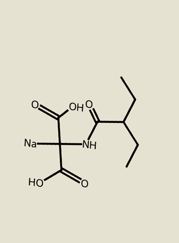 CCC(CC)C(=O)N[C]([Na])(C(=O)O)C(=O)O